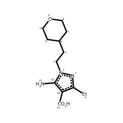 CCc1nn(CCC2CCOCC2)c(N)c1C(=O)O